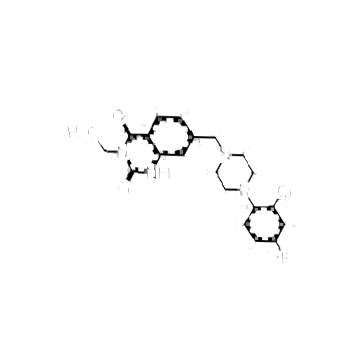 CCn1c(=O)[nH]c2cc(CN3CCN(c4ccc(F)cc4Cl)CC3)ccc2c1=O